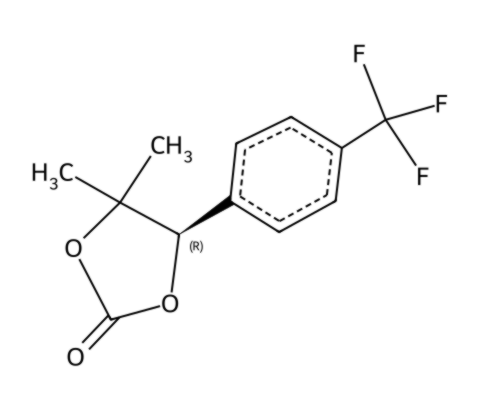 CC1(C)OC(=O)O[C@@H]1c1ccc(C(F)(F)F)cc1